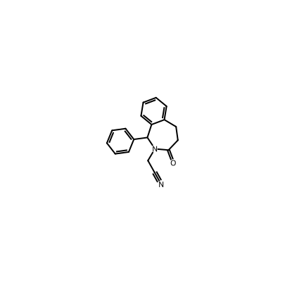 N#CCN1C(=O)CCc2ccccc2C1c1ccccc1